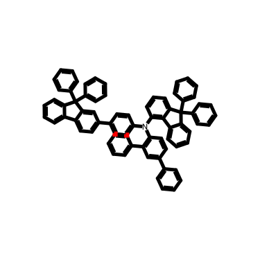 c1ccc(-c2ccc(N(c3ccc(-c4ccc5c(c4)C(c4ccccc4)(c4ccccc4)c4ccccc4-5)cc3)c3cccc4c3-c3ccccc3C4(c3ccccc3)c3ccccc3)c(-c3ccccc3)c2)cc1